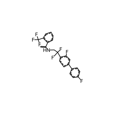 C=C(NCC(F)(F)c1ccc(-c2ccc(F)cc2)cc1F)c1ccccc1C(F)(F)F